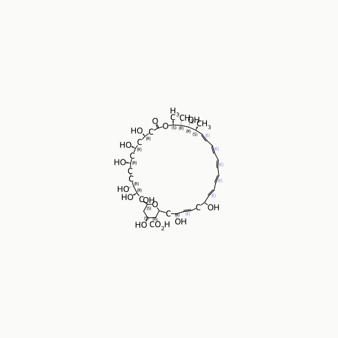 C[C@@H]1[C@H](O)[C@@H](C)/C=C/C=C/C=C/C=C/C=C/C(O)C/C=C/[C@H](O)CC2O[C@](O)(C[C@@H](O)[C@H](O)CC[C@@H](O)C[C@@H](O)C[C@@H](O)CC(=O)O[C@H]1C)C[C@H](O)[C@H]2C(=O)O